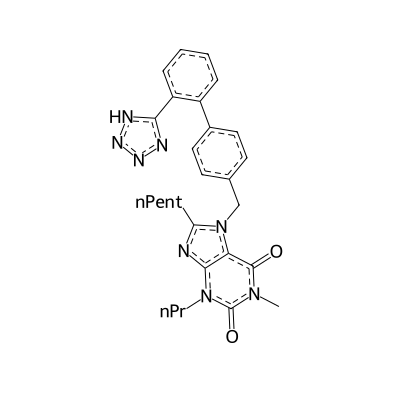 CCCCCc1nc2c(c(=O)n(C)c(=O)n2CCC)n1Cc1ccc(-c2ccccc2-c2nnn[nH]2)cc1